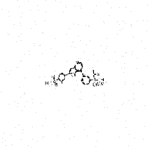 COC(C)(C)c1cccc(-c2ccnc3cc(-c4ccc(S(C)(=O)=O)nc4)oc23)c1